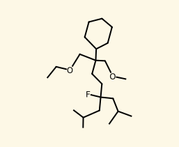 CCOCC(CCC(F)(CC(C)C)CC(C)C)(COC)C1CCCCC1